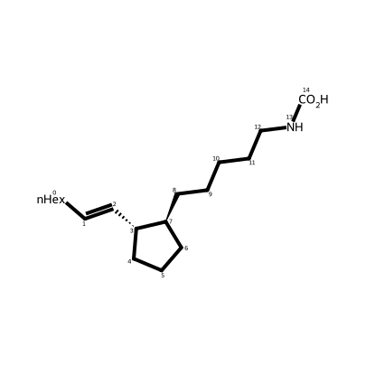 CCCCCCC=C[C@H]1CCC[C@@H]1CCCCCNC(=O)O